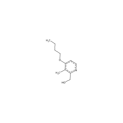 CCCCOc1ccnc(CO)c1C